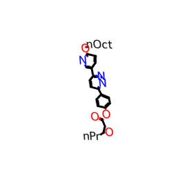 CCCCCCCCOc1ccc(-c2ccc(-c3ccc(OC(=O)C4OC4CCC)cc3)nn2)cn1